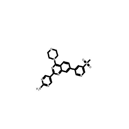 CS(=O)(=O)c1cncc(-c2ccc3c(N4CCOCC4)nc(-c4cnc(N)nc4)nc3c2)c1